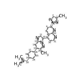 Cc1cnn(-c2ccc3c(-c4cnc5cc(-c6ccc(CN(C)C)cc6)c(C)nn45)ccnc3n2)n1